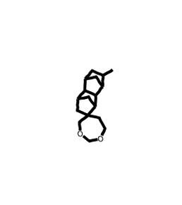 CC1CC2CC1C1C2C2CC1C1(CCOCOC1)C2